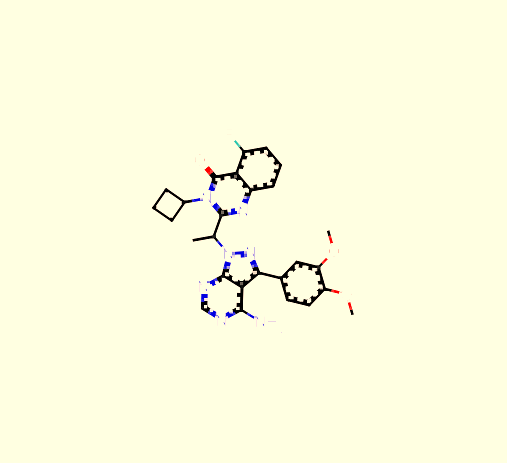 COc1ccc(-c2nn(C(C)c3nc4cccc(F)c4c(=O)n3C3CCC3)c3ncnc(N)c23)cc1OC